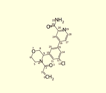 C=CC(=O)N1CCOCC1c1cc(Cl)cc(-c2ccnc(C(N)=O)c2)c1